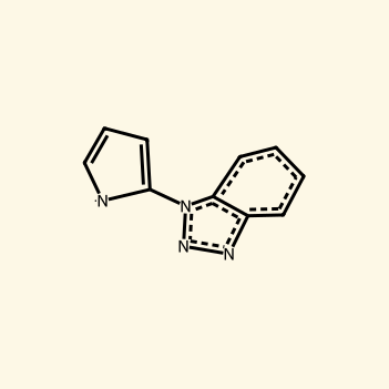 C1=C[N]C(n2nnc3ccccc32)=C1